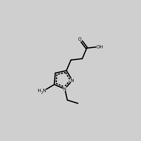 CCn1nc(CCC(=O)O)cc1N